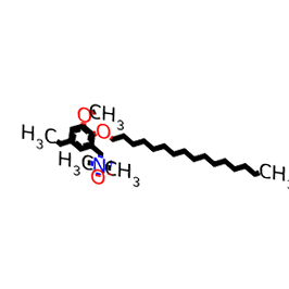 CCCCCCCCCCCCCCCCOc1c(C[N+](C)(C)[O-])cc(CC)cc1OC